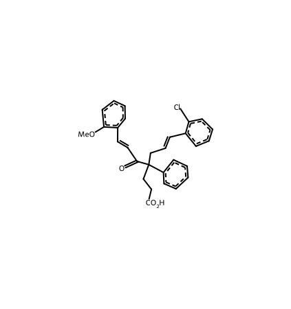 COc1ccccc1C=CC(=O)C(C/C=C/c1ccccc1Cl)(CCC(=O)O)c1ccccc1